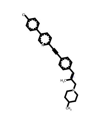 C/C(=C\c1ccc(C#Cc2ccc(-c3ccc(Cl)cc3)cn2)cc1)CN1CCC(C)CC1